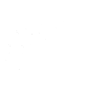 FCCOc1ccc(-c2cnc3nc4ccccc4n3c2)cc1